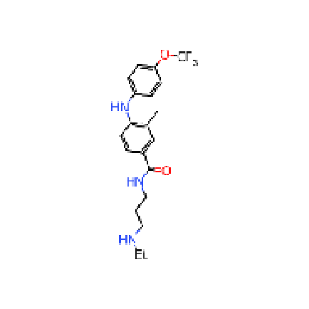 CCNCCCNC(=O)c1ccc(Nc2ccc(OC(F)(F)F)cc2)c(C)c1